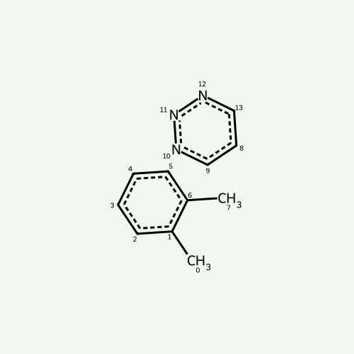 Cc1ccccc1C.c1cnnnc1